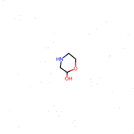 O[C]1CNCCO1